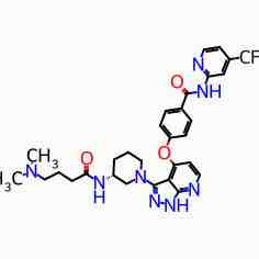 CN(C)CCCC(=O)N[C@@H]1CCCN(c2n[nH]c3nccc(Oc4ccc(C(=O)Nc5cc(C(F)(F)F)ccn5)cc4)c23)C1